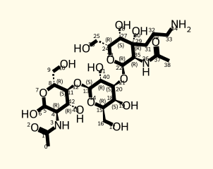 CC(=O)N[C@H]1C(O)O[C@H](CO)[C@@H](O[C@@H]2O[C@H](CO)[C@H](O)[C@H](O[C@H]3O[C@H](CO)[C@H](O)[C@@](O)(CCCN)[C@H]3NC(C)=O)[C@H]2O)[C@@H]1O